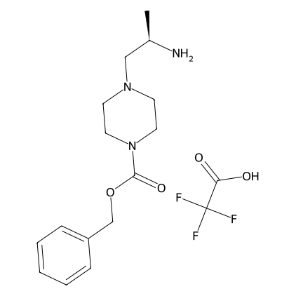 C[C@@H](N)CN1CCN(C(=O)OCc2ccccc2)CC1.O=C(O)C(F)(F)F